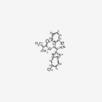 C=C(C)C(=O)OC(=C(C#N)c1nc2cc(Cl)ccc2s1)c1ccccc1Cl